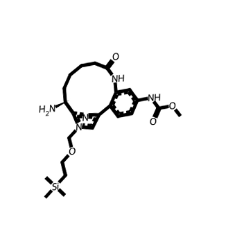 COC(=O)Nc1ccc2c(c1)NC(=O)CCCC[C@H](N)c1nc-2cn1COCC[Si](C)(C)C